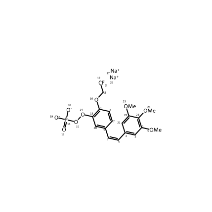 COc1cc(/C=C\c2ccc(OCC(F)(F)F)c(OOP(=O)([O-])[O-])c2)cc(OC)c1OC.[Na+].[Na+]